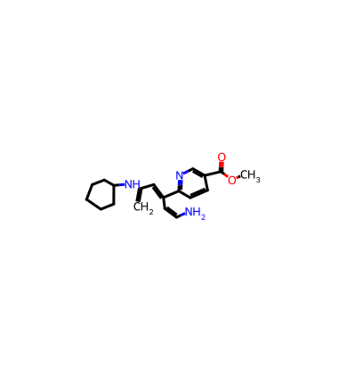 C=C(/C=C(\C=C/N)c1ccc(C(=O)OC)cn1)NC1CCCCC1